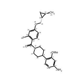 COc1cc(N)ncc1C1CCN(C(=O)c2ccc(OC[C@@H]3C[C@H]3C)cc2F)CC1